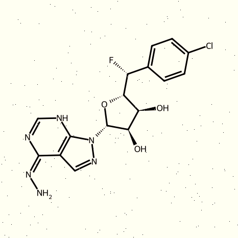 N/N=c1/nc[nH]c2c1cnn2[C@@H]1O[C@H]([C@H](F)c2ccc(Cl)cc2)[C@@H](O)[C@H]1O